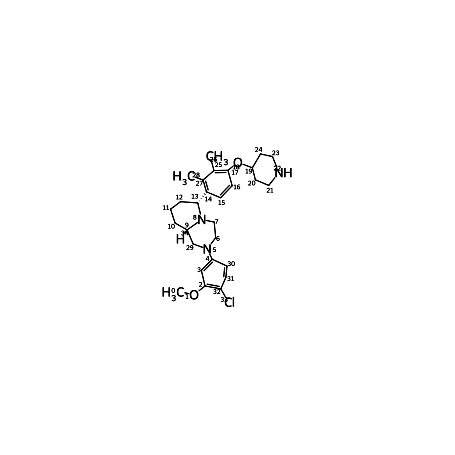 COc1cc(N2CCN3[C@@H](CCC[C@@H]3c3ccc(OC4CCNCC4)c(C)c3C)C2)ccc1Cl